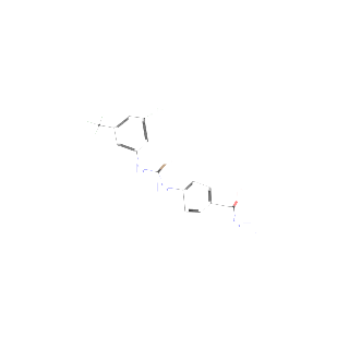 NC(=O)c1ccc(NC(=S)Nc2cc(Br)cc(C(F)(F)F)c2)cc1